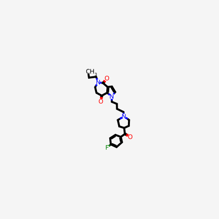 CCCN1CCC(=O)c2c(ccn2CCCCN2CCC(C(=O)c3ccc(F)cc3)CC2)C1=O